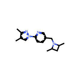 Cc1cn(-c2ccc(CN3C(C)CC3C)cn2)nc1C